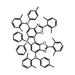 Cc1ccc(N(c2c(C)cccc2C)c2cc3c(c4oc(-c5c(C)cccc5C)nc24)-c2c(cc(N(c4ccc(C)cc4)c4c(C)cccc4C)c4nc(-c5c(C)cccc5C)oc24)[Si]3(c2ccccc2)c2ccccc2)cc1